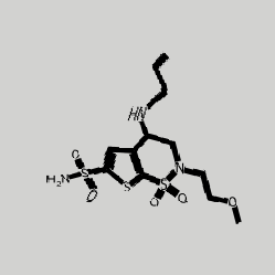 CCCNC1CN(CCOC)S(=O)(=O)c2sc(S(N)(=O)=O)cc21